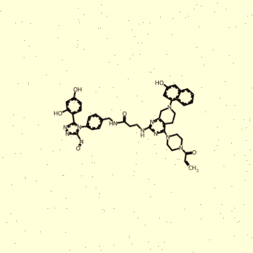 C=CC(=O)N1CCN(c2nc(NCCC(=O)NCc3ccc(-n4c(N=O)nnc4-c4ccc(O)cc4O)cc3)nc3c2CCN(c2cc(O)cc4ccccc24)C3)CC1